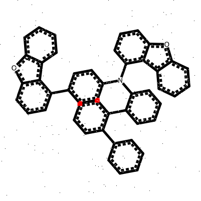 c1ccc(-c2ccccc2-c2ccccc2N(c2ccc(-c3cccc4oc5ccccc5c34)cc2)c2cccc3oc4ccccc4c23)cc1